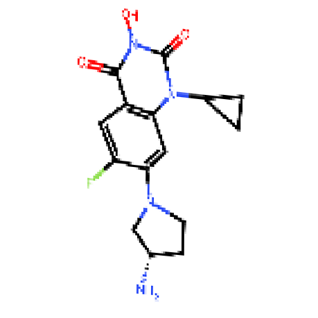 N[C@H]1CCN(c2cc3c(cc2F)c(=O)n(O)c(=O)n3C2CC2)C1